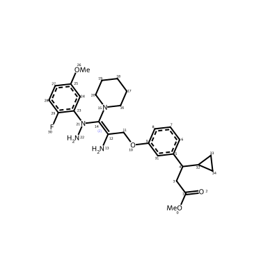 COC(=O)CC(c1cccc(OC/C(N)=C(\N2CCCCC2)N(N)c2cc(OC)ccc2F)c1)C1CC1